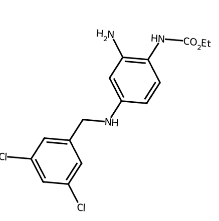 CCOC(=O)Nc1ccc(NCc2cc(Cl)cc(Cl)c2)cc1N